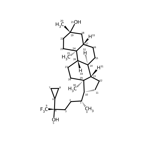 C[C@H](CC[C@](O)(C1CC1)C(F)(F)F)[C@H]1CC[C@H]2[C@@H]3CC[C@H]4C[C@@](C)(O)CC[C@]4(C)[C@H]3CC[C@]12C